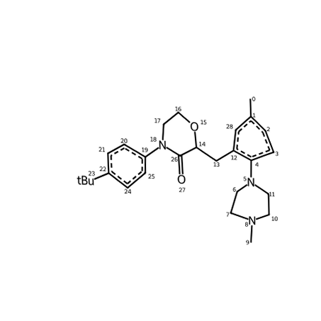 Cc1ccc(N2CCN(C)CC2)c(CC2OCCN(c3ccc(C(C)(C)C)cc3)C2=O)c1